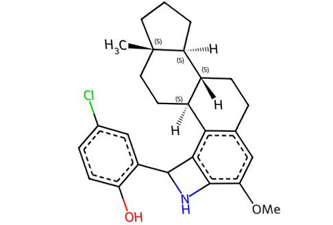 COc1cc2c(c3c1NC3c1cc(Cl)ccc1O)[C@H]1CC[C@]3(C)CCC[C@H]3[C@@H]1CC2